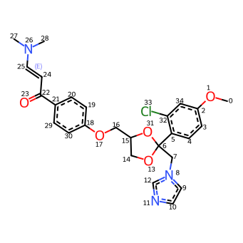 COc1ccc(C2(Cn3ccnc3)OCC(COc3ccc(C(=O)/C=C/N(C)C)cc3)O2)c(Cl)c1